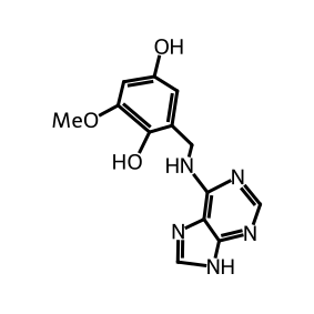 COc1cc(O)cc(CNc2ncnc3[nH]cnc23)c1O